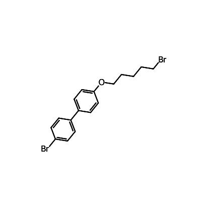 BrCCCCCOc1ccc(-c2ccc(Br)cc2)cc1